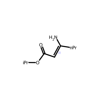 CCC/C(N)=C/C(=O)OC(C)C